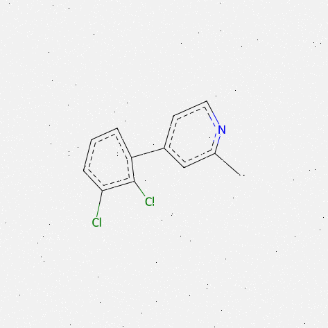 [CH2]c1cc(-c2cccc(Cl)c2Cl)ccn1